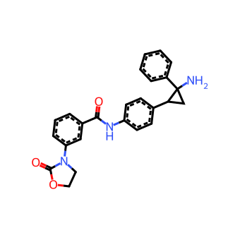 NC1(c2ccccc2)CC1c1ccc(NC(=O)c2cccc(N3CCOC3=O)c2)cc1